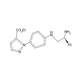 CCOC(=O)c1ccnn1-c1ccc(NC[C@@H](N)CC)cc1